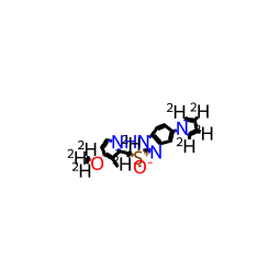 [2H]c1c([2H])c([2H])n(-c2ccc3[nH]c([S+]([O-])C([2H])([2H])c4nccc(OC([2H])([2H])[2H])c4C)nc3c2)c1[2H]